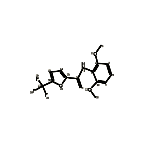 C=C(Nc1c(OC)cccc1OC)c1ccc(C(F)(F)F)o1